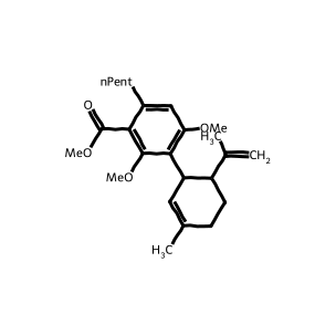 C=C(C)C1CCC(C)=CC1c1c(OC)cc(CCCCC)c(C(=O)OC)c1OC